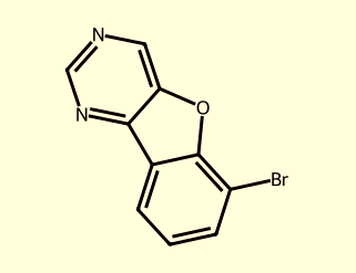 Brc1cccc2c1oc1cncnc12